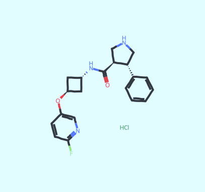 Cl.O=C(N[C@H]1C[C@H](Oc2ccc(F)nc2)C1)[C@H]1CNC[C@@H]1c1ccccc1